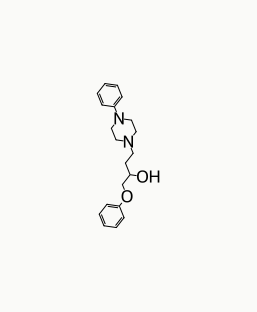 OC(CCN1CCN(c2ccccc2)CC1)COc1ccccc1